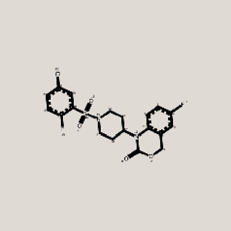 O=C1OCc2cc(F)ccc2N1C1CCN(S(=O)(=O)c2cc(Cl)ccc2F)CC1